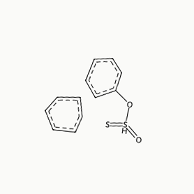 O=[SH](=S)Oc1ccccc1.c1ccccc1